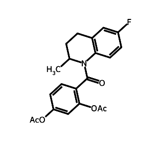 CC(=O)Oc1ccc(C(=O)N2c3ccc(F)cc3CCC2C)c(OC(C)=O)c1